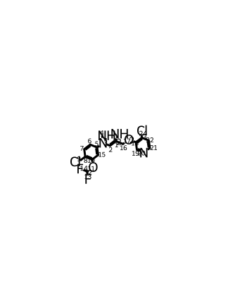 N/C(=C\N(N)c1ccc(Cl)c(OC(F)F)c1)COc1cnccc1Cl